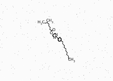 CCCCCCCCCCCc1ccc(-c2ncc(OC(=O)CCCCC(C)CC)cn2)cc1